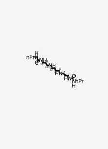 CCCNC(=O)NCCCNCCCCNCCCNC(=O)NCCC